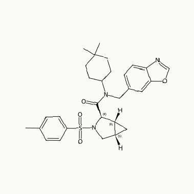 Cc1ccc(S(=O)(=O)N2C[C@H]3C[C@H]3[C@@H]2C(=O)N(Cc2ccc3ncoc3c2)C2CCC(C)(C)CC2)cc1